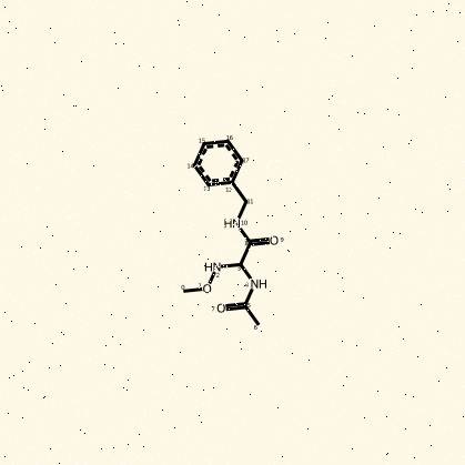 CONC(NC(C)=O)C(=O)NCc1ccccc1